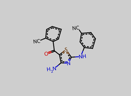 N#Cc1cccc(Nc2nc(N)c(C(=O)c3ccccc3C#N)s2)c1